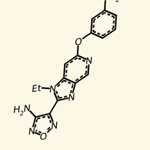 CCn1c(-c2nonc2N)nc2cnc(Oc3cccc(C(=O)O)c3)cc21